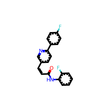 O=C(/C=C\c1ccc(-c2ccc(F)cc2)nc1)Nc1ccccc1F